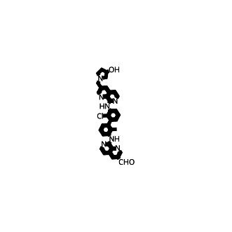 Cc1c(Nc2nccc3cc(C=O)cnc23)cccc1-c1cccc(Nc2nccc3cc(CN4CCC(O)C4)cnc23)c1Cl